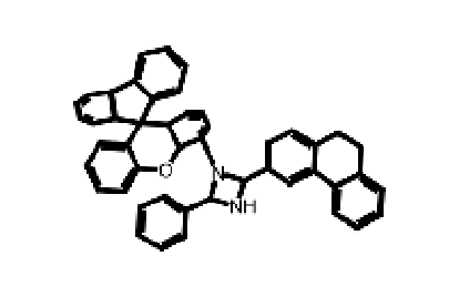 C1=CC2c3ccccc3C3(c4ccccc4OC4C(N5C(c6ccccc6)NC5C5C=C6C(=CC5)CCc5ccccc56)=CC=CC43)C2C=C1